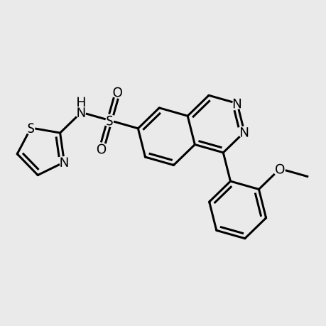 COc1ccccc1-c1nncc2cc(S(=O)(=O)Nc3nccs3)ccc12